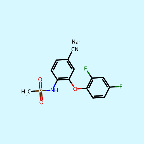 CS(=O)(=O)Nc1ccc(C#N)cc1Oc1ccc(F)cc1F.[Na]